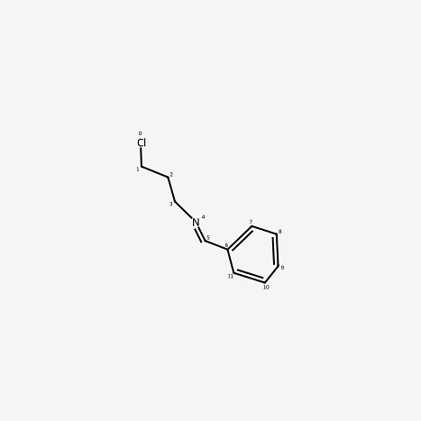 ClCCCN=Cc1ccccc1